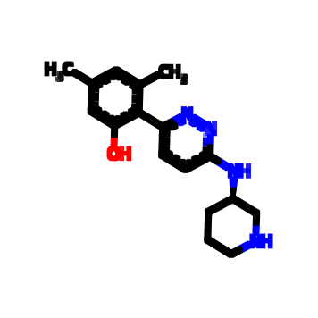 Cc1cc(C)c(-c2ccc(N[C@@H]3CCCNC3)nn2)c(O)c1